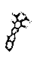 O=C1c2cc3cc4ccccc4cc3cc2C(=O)c2c1c(=O)ssc2=O